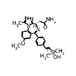 COc1ccc2c(c1)C(c1ccc(/C=C/[Si](C)(C)O)cc1)=N[C@@H](CC(N)=O)c1nnc(C)n1-2